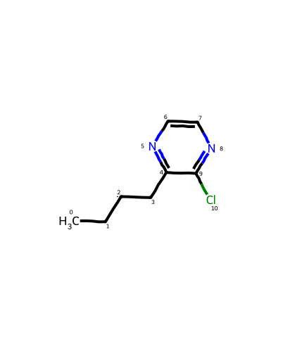 CC[CH]Cc1nccnc1Cl